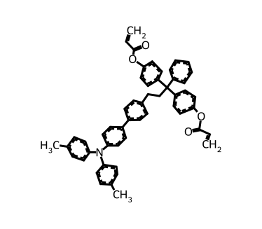 C=CC(=O)Oc1ccc(C(CCc2ccc(-c3ccc(N(c4ccc(C)cc4)c4ccc(C)cc4)cc3)cc2)(c2ccccc2)c2ccc(OC(=O)C=C)cc2)cc1